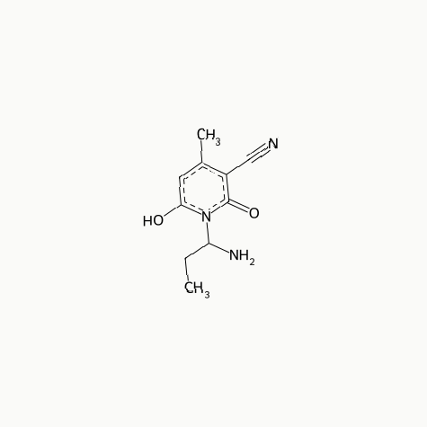 CCC(N)n1c(O)cc(C)c(C#N)c1=O